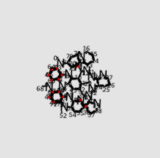 CN1c2ccccc2N(c2c(-c3nc4cccnc4n3C)c(-c3nc4cccnc4n3C)c(-c3nc4cccnc4n3C)c(N3c4ccccc4N(C)c4ccccc43)c2N2c3ccccc3N(C)c3ccccc32)c2ccccc21